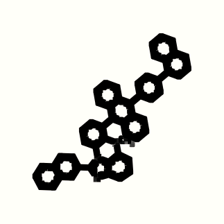 CN1c2c(-c3c4ccccc4c(-c4ccc(-c5cccc6ccccc56)cc4)c4ccccc34)cccc2-n2c(-c3ccc4ccccc4c3)nc3cccc1c32